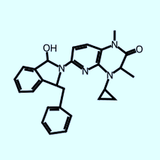 CC1C(=O)N(C)c2ccc(N3C(O)c4ccccc4C3Cc3ccccc3)nc2N1C1CC1